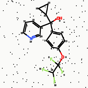 OC(c1ccc(OC(F)(F)C(F)F)cc1)(c1cccnc1)C1CC1